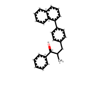 CC(Cc1ccc(-c2cccc3ccccc23)cc1)C(=O)c1ccccc1